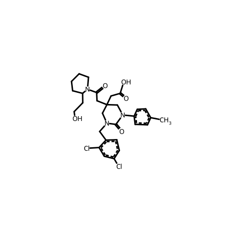 Cc1ccc(N2CC(CC(=O)O)(CC(=O)N3CCCCC3CCO)CN(Cc3ccc(Cl)cc3Cl)C2=O)cc1